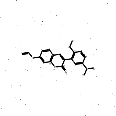 C=COc1ccc2cc(-c3cc(C(C)C)ccc3CC)c(=O)oc2c1